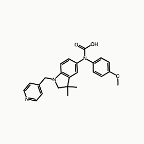 COc1ccc(N(C(=O)O)c2ccc3c(c2)C(C)(C)CN3Cc2ccncc2)cc1